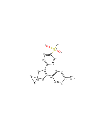 CS(=O)(=O)c1ccc(C2=C(c3ccc(C(F)(F)F)cc3)CC3(CC3)C2)cc1